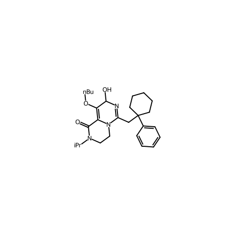 CCCCOC1=C2C(=O)N(C(C)C)CCN2C(CC2(c3ccccc3)CCCCC2)=NC1O